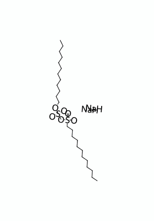 CCCCCCCCCCCCOS(=O)(=O)OS(=O)(=O)CCCCCCCCCCCC.[NaH].[NaH]